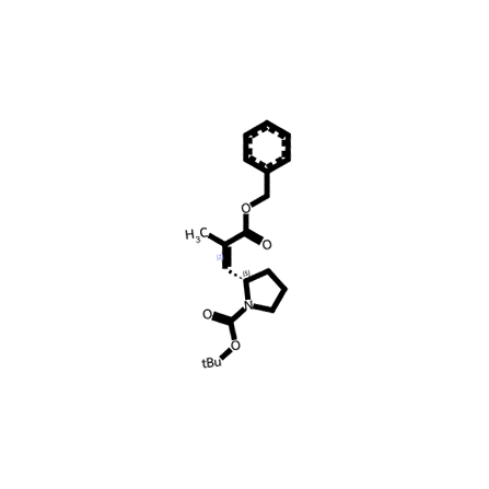 C/C(=C/[C@@H]1CCCN1C(=O)OC(C)(C)C)C(=O)OCc1ccccc1